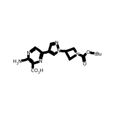 CC(C)(C)OC(=O)N1CC(n2cc(-c3cnc(N)c(C(=O)O)n3)cn2)C1